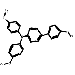 CCOc1ccc(-c2ccc(N(c3ccc(OCC)cc3)c3ccc(OCC)cc3)cc2)cc1